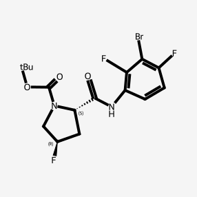 CC(C)(C)OC(=O)N1C[C@H](F)C[C@H]1C(=O)Nc1ccc(F)c(Br)c1F